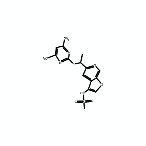 CC(Sc1nc(N)cc(C#N)n1)c1cc2c(NS(C)(=O)=O)csc2cn1